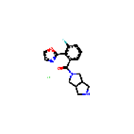 Cl.O=C(c1cccc(F)c1-c1ncco1)N1CC2CNCC2C1